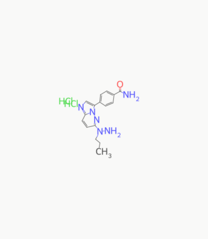 CCCN(N)c1ccc2ncc(-c3ccc(C(N)=O)cc3)n2n1.Cl.Cl